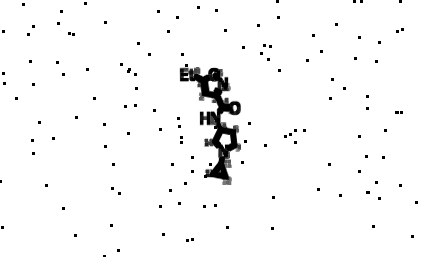 CCc1cc(C(=O)N[C@H]2CCN(C3CC3)C2)no1